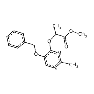 COC(=O)C(C)Oc1nc(C)ncc1OCc1ccccc1